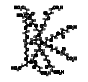 O=C(O)CCC(=O)OCCOCC(COCCOC(=O)CCC(=O)O)OCC(COC(COCCOC(=O)CCC(=O)O)COCCOC(=O)CCC(=O)O)(COC(COCCOC(=O)CCC(=O)O)COCCOC(=O)CCC(=O)O)COC(COCCOC(=O)CCC(=O)O)COCCOC(=O)CCC(=O)O